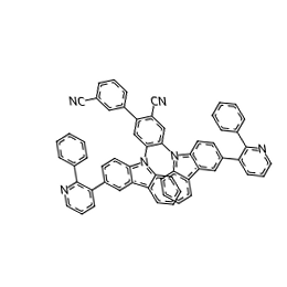 N#Cc1cccc(-c2cc(-n3c4ccccc4c4cc(-c5cccnc5-c5ccccc5)ccc43)c(-n3c4ccccc4c4cc(-c5cccnc5-c5ccccc5)ccc43)cc2C#N)c1